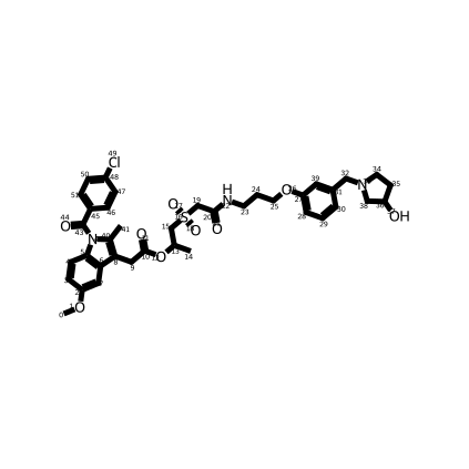 COc1ccc2c(c1)c(CC(=O)OC(C)CS(=O)(=O)CC(=O)NCCCOc1cccc(CN3CCC(O)C3)c1)c(C)n2C(=O)c1ccc(Cl)cc1